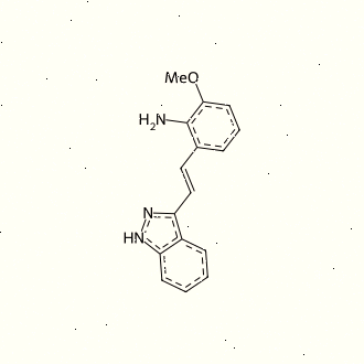 COc1cccc(/C=C/c2n[nH]c3ccccc23)c1N